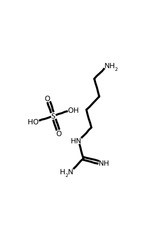 N=C(N)NCCCCN.O=S(=O)(O)O